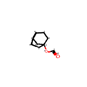 O=[C]OC12CCCC(CC1)C2